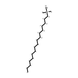 CCCCCCCCCCCCCCCCC[N+](C)(C)Br